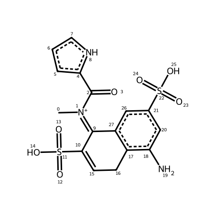 C[N+](C(=O)c1ccc[nH]1)=C1C(S(=O)(=O)O)=CCc2c(N)cc(S(=O)(=O)O)cc21